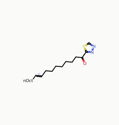 CCCCCCCC/C=C/CCCCCCCC(=O)c1nncs1